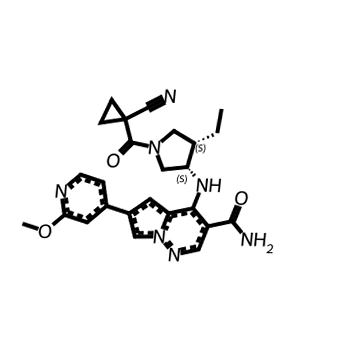 CC[C@H]1CN(C(=O)C2(C#N)CC2)C[C@H]1Nc1c(C(N)=O)cnn2cc(-c3ccnc(OC)c3)cc12